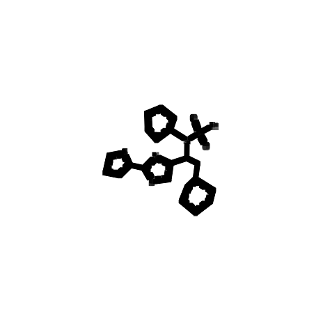 CCS(=O)(=O)N(c1ccccc1)C(Cc1cc[c]cc1)c1csc(-c2cccs2)n1